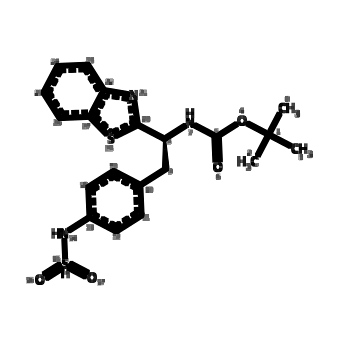 CC(C)(C)OC(=O)N[C@@H](Cc1ccc(N[SH](=O)=O)cc1)c1nc2ccccc2s1